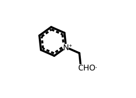 O=[C]C[n+]1ccccc1